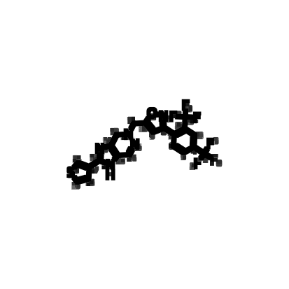 FC(F)(F)c1ccc(-c2cc(CN3Cc4nc(-c5ccsc5)[nH]c4C=N3)on2)c(C(F)(F)F)c1